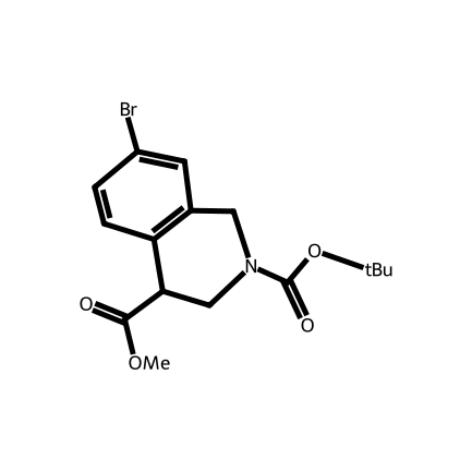 COC(=O)C1CN(C(=O)OC(C)(C)C)Cc2cc(Br)ccc21